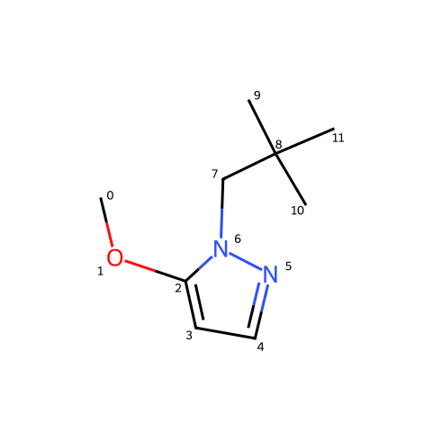 COc1ccnn1CC(C)(C)C